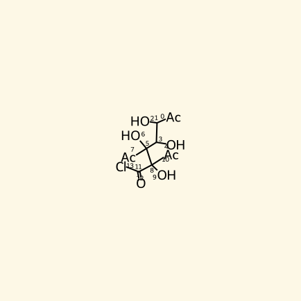 CC(=O)C(O)C(O)C(O)(C(C)=O)C(O)(C(C)=O)C(=O)Cl